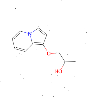 CC(O)COc1c[c]n2ccccc12